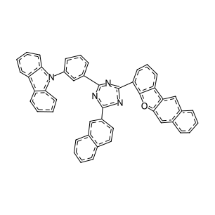 c1cc(-c2nc(-c3ccc4ccccc4c3)nc(-c3cccc4c3oc3cc5ccccc5cc34)n2)cc(-n2c3ccccc3c3ccccc32)c1